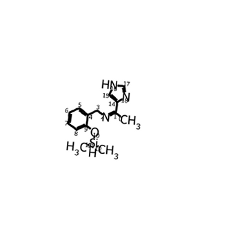 CC(=NCc1ccccc1O[SiH](C)C)c1c[nH]cn1